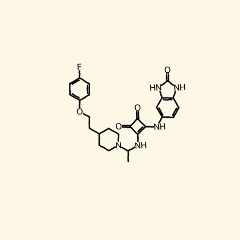 CC(Nc1c(Nc2ccc3[nH]c(=O)[nH]c3c2)c(=O)c1=O)N1CCC(CCOc2ccc(F)cc2)CC1